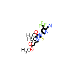 COC(=O)CCCN1C(=S)N(c2cnc(C#N)c(C(F)(F)F)c2)C(=O)C1(C)C